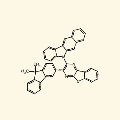 CC1(C)c2ccccc2-c2cc(-c3nc4oc5ccccc5c4nc3-n3c4ccccc4c4cc5ccccc5cc43)ccc21